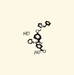 Cl.O=C(O)c1ccc2c(c1)nc(-c1ccc(OC[C@@H]3CCCN3Cc3ccccc3)cc1)n2C1CCCCC1